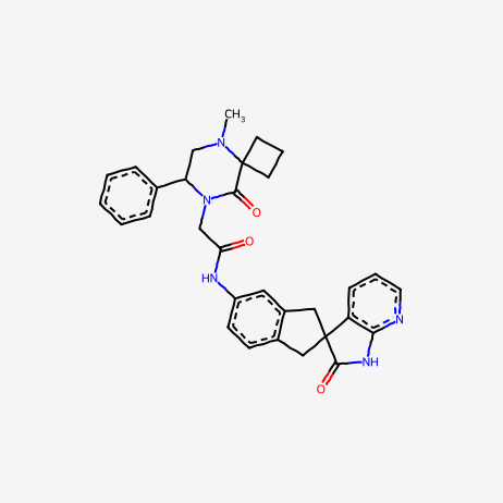 CN1CC(c2ccccc2)N(CC(=O)Nc2ccc3c(c2)CC2(C3)C(=O)Nc3ncccc32)C(=O)C12CCC2